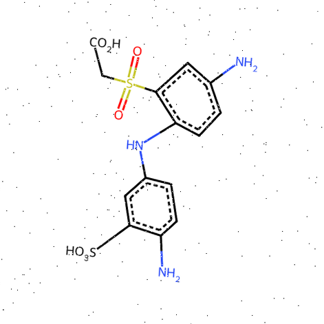 Nc1ccc(Nc2ccc(N)c(S(=O)(=O)O)c2)c(S(=O)(=O)CC(=O)O)c1